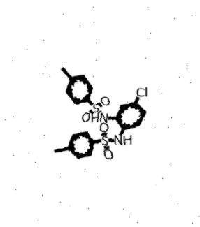 Cc1ccc(S(=O)(=O)Nc2ccc(Cl)cc2NS(=O)(=O)c2ccc(C)cc2)cc1